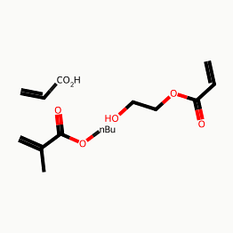 C=C(C)C(=O)OCCCC.C=CC(=O)O.C=CC(=O)OCCO